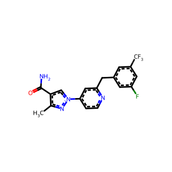 Cc1nn(-c2ccnc(Cc3cc(F)cc(C(F)(F)F)c3)c2)cc1C(N)=O